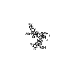 CNC(=O)c1c(-c2ccc(OC(F)F)nc2)oc2cc(N(C)S(C)(=O)=O)c(-c3ccc4c(n3)-c3cc5c(F)cccc5n3C(CO)O4)cc12